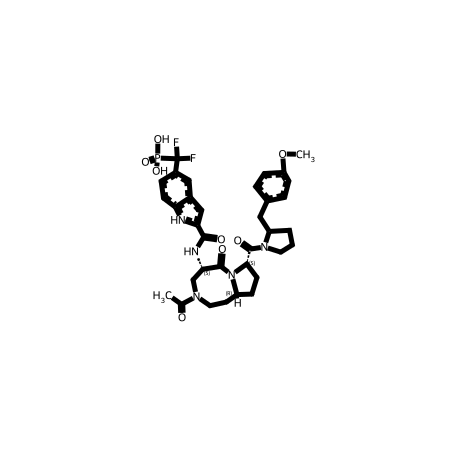 COc1ccc(CC2CCCN2C(=O)[C@@H]2CC[C@@H]3CCN(C(C)=O)C[C@H](NC(=O)c4cc5cc(C(F)(F)P(=O)(O)O)ccc5[nH]4)C(=O)N32)cc1